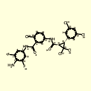 Nc1c(F)cc(NC(=O)c2cc(NC(=O)[C@H]3[C@H](c4cc(Cl)cc(Cl)c4)C3(Cl)Cl)ccc2Cl)cc1F